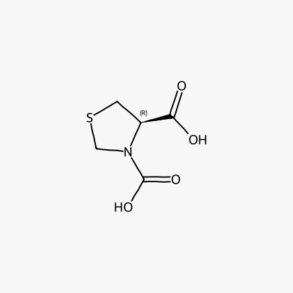 O=C(O)[C@@H]1CSCN1C(=O)O